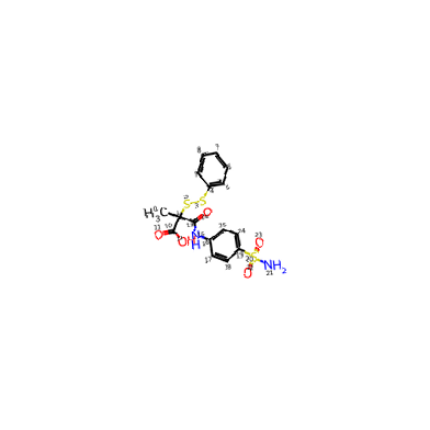 CC(SSc1ccccc1)(C(=O)O)C(=O)Nc1ccc(S(N)(=O)=O)cc1